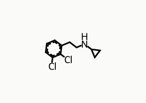 Clc1cccc(CCNC2CC2)c1Cl